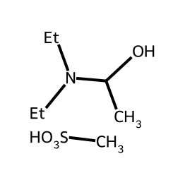 CCN(CC)C(C)O.CS(=O)(=O)O